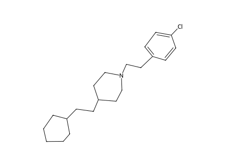 Clc1ccc(CCN2CCC(CCC3CCCCC3)CC2)cc1